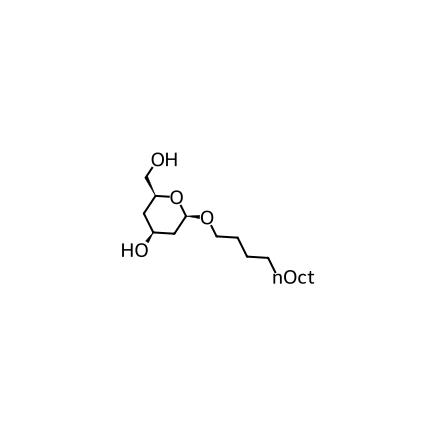 CCCCCCCCCCCCO[C@H]1C[C@@H](O)C[C@@H](CO)O1